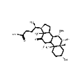 CC[C@H]1[C@@H](OC(C)=O)C2C3CC[C@H]([C@H](C)CCC(=O)OC)[C@@]3(C)C(=O)[C@@H](Br)C2[C@@]2(C)CC[C@@H](O)C[C@@H]12